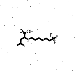 CC(C)CC(SCCCCCCC(F)(F)F)C(=O)O